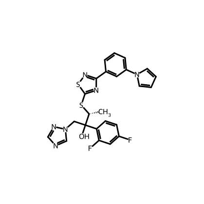 C[C@@H](Sc1nc(-c2cccc(-n3cccc3)c2)ns1)C(O)(Cn1cncn1)c1ccc(F)cc1F